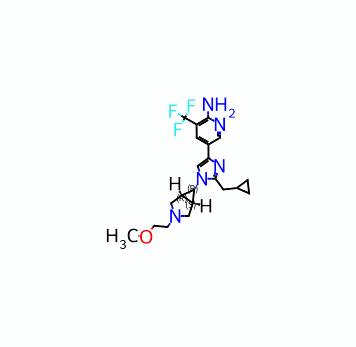 COCCN1C[C@@H]2[C@H](C1)[C@@H]2n1cc(-c2cnc(N)c(C(F)(F)F)c2)nc1CC1CC1